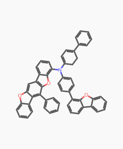 C1=C(c2ccccc2)CCC(N(c2ccc(-c3cccc4c3oc3ccccc34)cc2)c2cccc3c2oc2c(-c4ccccc4)c4c(cc23)oc2ccccc24)=C1